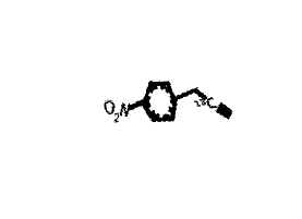 C#[13C]Cc1ccc([N+](=O)[O-])cc1